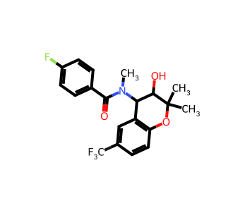 CN(C(=O)c1ccc(F)cc1)C1c2cc(C(F)(F)F)ccc2OC(C)(C)C1O